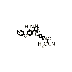 C=C(C#N)C(=O)N1CC2(CC(Oc3ncnc(N)c3-c3ccc(Oc4ccncc4)cc3)C2)C1